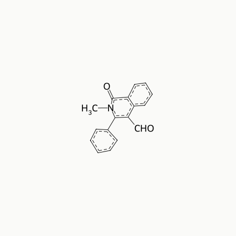 Cn1c(-c2ccccc2)c(C=O)c2ccccc2c1=O